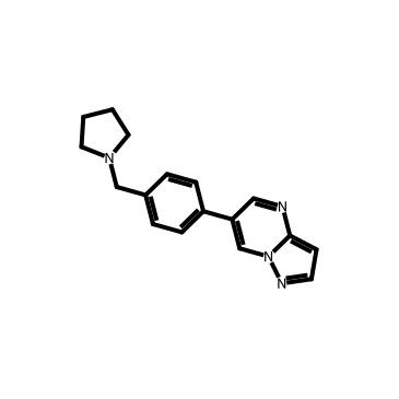 c1cc2ncc(-c3ccc(CN4CCCC4)cc3)cn2n1